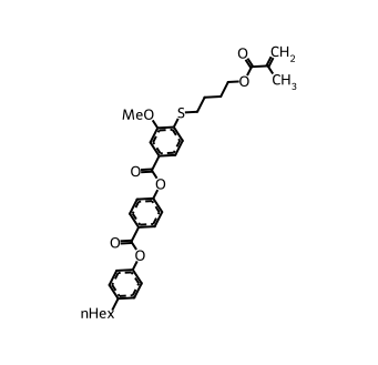 C=C(C)C(=O)OCCCCSc1ccc(C(=O)Oc2ccc(C(=O)Oc3ccc(CCCCCC)cc3)cc2)cc1OC